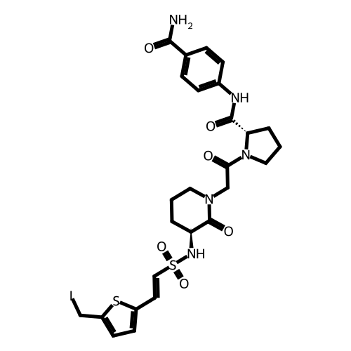 NC(=O)c1ccc(NC(=O)[C@@H]2CCCN2C(=O)CN2CCC[C@H](NS(=O)(=O)/C=C/c3ccc(CI)s3)C2=O)cc1